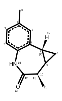 Cc1ccc2c(c1)[C@@H]1CC1[C@@H](C)C(=O)N2